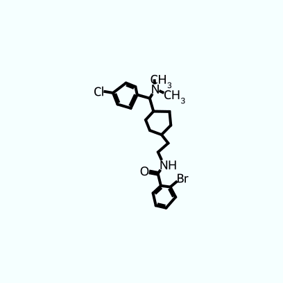 CN(C)C(c1ccc(Cl)cc1)C1CCC(CCNC(=O)c2ccccc2Br)CC1